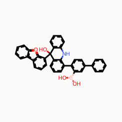 OB(O)c1cc(-c2ccccc2)ccc1-c1cccc2c1Nc1ccccc1C2(O)c1cccc2c1oc1ccccc12